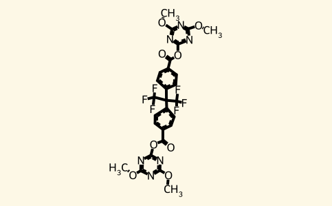 COc1nc(OC)nc(OC(=O)c2ccc(C(c3ccc(C(=O)Oc4nc(OC)nc(OC)n4)cc3)(C(F)(F)F)C(F)(F)F)cc2)n1